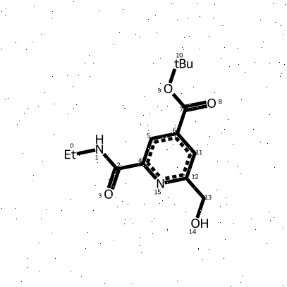 CCNC(=O)c1cc(C(=O)OC(C)(C)C)cc(CO)n1